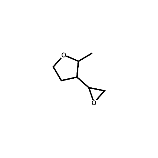 CC1OCCC1C1CO1